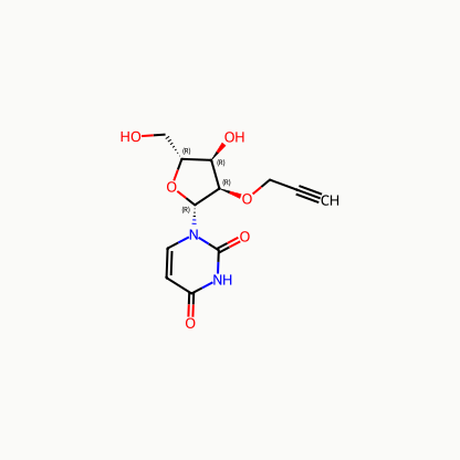 C#CCO[C@@H]1[C@H](O)[C@@H](CO)O[C@H]1n1ccc(=O)[nH]c1=O